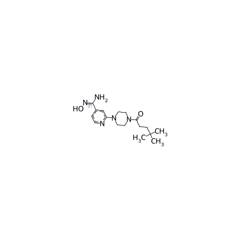 CC(C)(C)CCC(=O)N1CCN(c2cc(/C(N)=N\O)ccn2)CC1